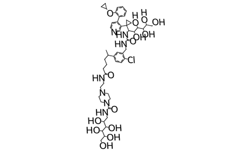 CC(CCCC(=O)NCCN1CCN(C(=O)NCC(O)C(O)C(O)C(O)CO)CC1)c1ccc(Cl)c(CNC(=O)NC(C(O)C(O)C(O)C(O)CO)C2(c3cnccc3-c3ccccc3OC3CC3)CC2)c1